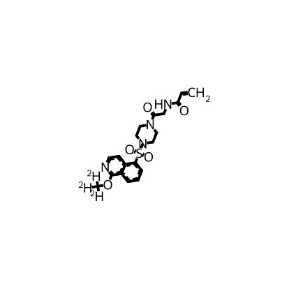 [2H]C([2H])([2H])Oc1nccc2c(S(=O)(=O)N3CCN(C(=O)CNC(=O)C=C)CC3)cccc12